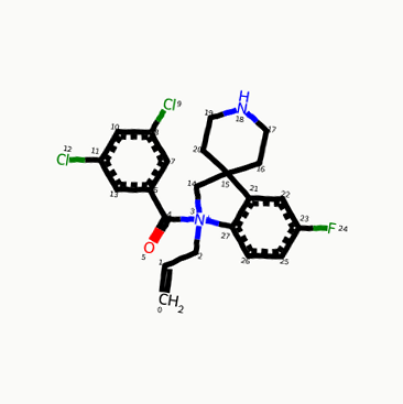 C=CC[N+]1(C(=O)c2cc(Cl)cc(Cl)c2)CC2(CCNCC2)c2cc(F)ccc21